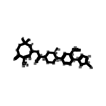 C=C1CCC(C)(C)ON(CC(=O)N2CCN(c3ccc(-c4cnc(C)o4)c(OC)c3)[C@@H](C)C2)/N=C\1C(F)(F)F